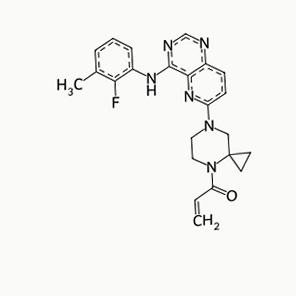 C=CC(=O)N1CCN(c2ccc3ncnc(Nc4cccc(C)c4F)c3n2)CC12CC2